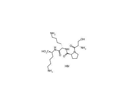 Br.NCCCC[C@H](NC(=O)[C@H](CCCCN)NC(=O)[C@@H]1CCCN1C(=O)[C@@H](N)CO)C(=O)O